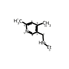 CCNCc1cnc(C)cc1C